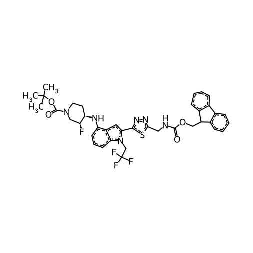 CC(C)(C)OC(=O)N1CC[C@@H](Nc2cccc3c2cc(-c2nnc(CNC(=O)OCC4c5ccccc5-c5ccccc54)s2)n3CC(F)(F)F)[C@@H](F)C1